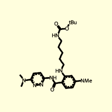 CNc1ccc(C(=O)Nc2ccc(N(C)C)nn2)c(NCCCCCNC(=O)OC(C)(C)C)c1